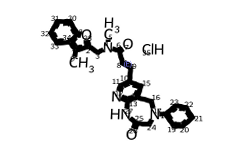 Cc1c(CN(C)C(=O)/C=C/c2cnc3c(c2)CN(c2ccccc2)CC(=O)N3)oc2ccccc12.Cl